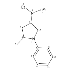 CCCN(CC)C1CC(C)N(c2ccccc2)C1